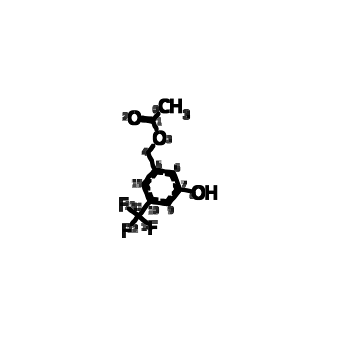 CC(=O)OCc1cc(O)cc(C(F)(F)F)c1